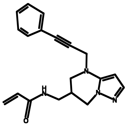 C=CC(=O)NCC1CN(CC#Cc2ccccc2)c2ccnn2C1